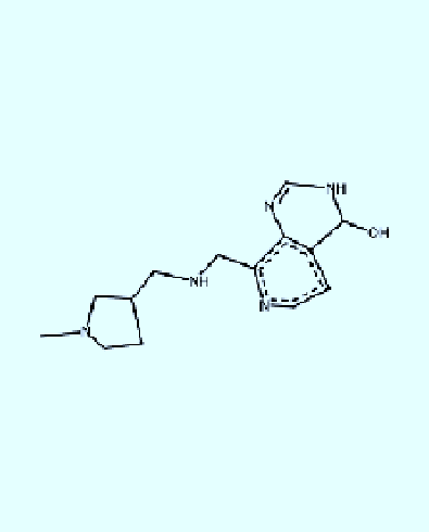 CN1CCC(CNCc2nccc3c2N=CNC3O)C1